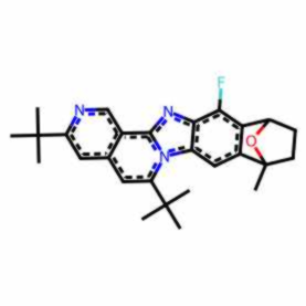 CC(C)(C)c1cc2cc(C(C)(C)C)n3c4cc5c(c(F)c4nc3c2cn1)C1CCC5(C)O1